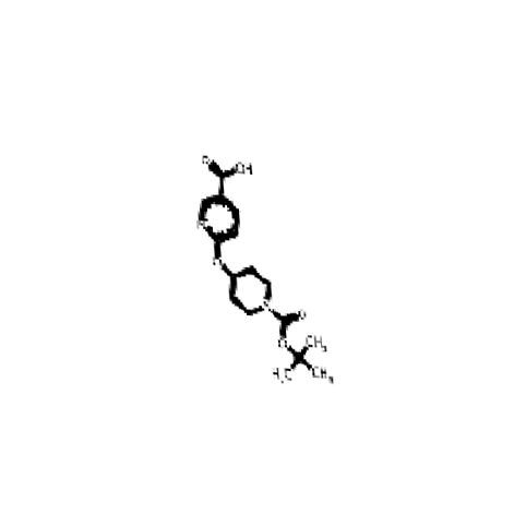 CC(C)(C)OC(=O)N1CCC(Oc2ccc(C(=O)O)cn2)CC1